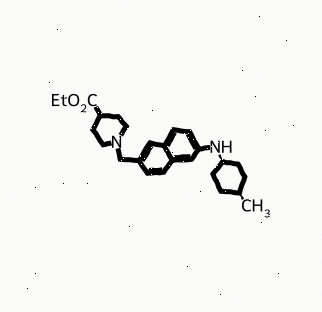 CCOC(=O)C1CCN(Cc2ccc3cc(N[C@H]4CC[C@@H](C)CC4)ccc3c2)CC1